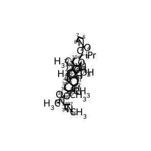 CC(C)[C@@H](OC(=O)N1CCC1)[C@H]1C[C@@H](C)[C@H]2[C@H](O1)[C@H](O)[C@@]1(C)[C@@H]3CC[C@H]4C(C)(C)[C@@H](OC(=O)N(C)C5CN(C)C5)CC[C@@]45C[C@@]35CC[C@]21C